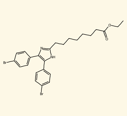 CCOC(=O)CCCCCCCc1nc(-c2ccc(Br)cc2)c(-c2ccc(Br)cc2)[nH]1